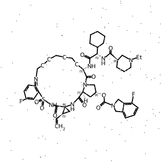 C=C[C@@H]1C[C@@]12NC(=O)[C@@H]1C[C@@H](OC(=O)N3Cc4cccc(F)c4C3)CN1C(=O)[C@@H](NC(=O)[C@@H](NC(=O)[C@@H]1CCCN(CC)C1)C1CCCCC1)CCCCCCCNc1ccc(F)cc1S(=O)(=O)NC2=O